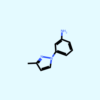 Cc1ccn(-c2cccc(N)c2)n1